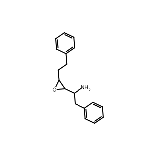 NC(Cc1ccccc1)C1OC1CCc1ccccc1